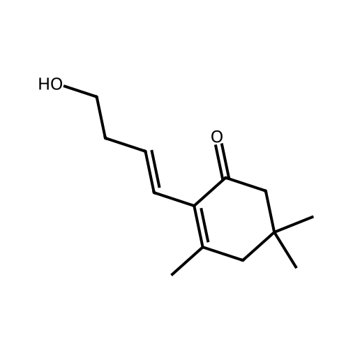 CC1=C(C=CCCO)C(=O)CC(C)(C)C1